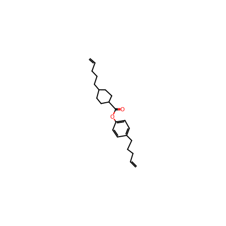 C=CCCCc1ccc(OC(=O)C2CCC(CCCC=C)CC2)cc1